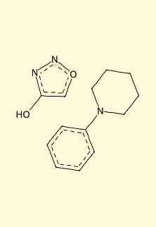 Oc1conn1.c1ccc(N2CCCCC2)cc1